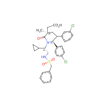 C[C@]1(CC(=O)O)CC(c2cccc(Cl)c2)[C@@H](c2ccc(Cl)cc2)N([C@H](CNS(=O)(=O)Cc2ccccc2)C2CC2)C1=O